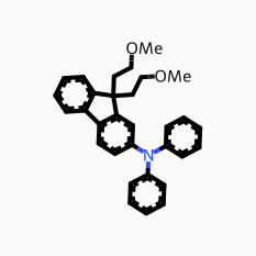 COCCC1(CCOC)c2ccccc2-c2ccc(N(c3ccccc3)c3ccccc3)cc21